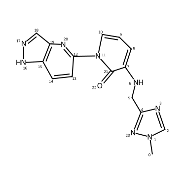 Cn1cnc(CNc2cccn(-c3ccc4[nH]ncc4n3)c2=O)n1